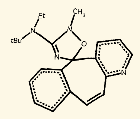 CCN(C1=NC2(ON1C)c1ccccc1C=Cc1ncccc12)C(C)(C)C